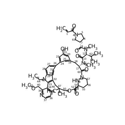 C=CC(=O)N1CC[C@H](C(=O)N(C)[C@H](C(=O)N(C)[C@H]2Cc3cc(O)cc(c3)-c3ccc4c(c3)c(c(-c3cccnc3COC)n4CC)CC(C)(C)COC(=O)[C@@H]3CCCN(N3)C2=O)C(C)C)C1